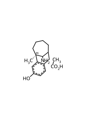 CC(=O)O.C[C@@]12CCCCC(Cc3ccc(O)cc31)C2N